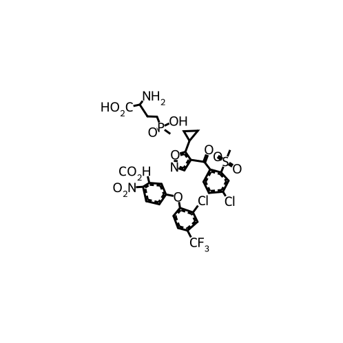 CP(=O)(O)CCC(N)C(=O)O.CS(=O)(=O)c1cc(Cl)ccc1C(=O)c1cnoc1C1CC1.O=C(O)c1cc(Oc2ccc(C(F)(F)F)cc2Cl)ccc1[N+](=O)[O-]